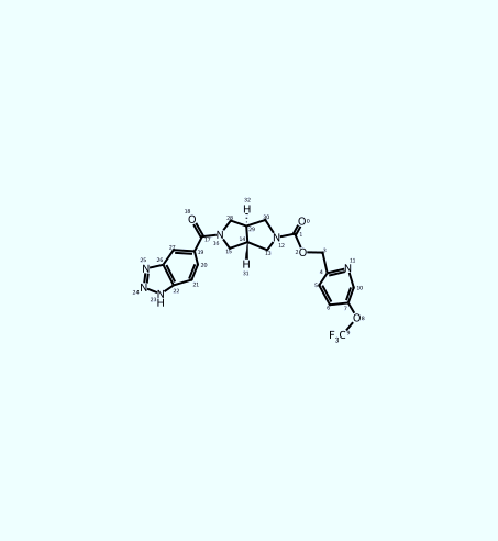 O=C(OCc1ccc(OC(F)(F)F)cn1)N1C[C@@H]2CN(C(=O)c3ccc4[nH]nnc4c3)C[C@H]2C1